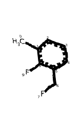 Cc1cccc(CF)c1F